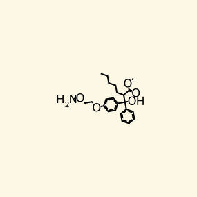 CCCCCC(C(=O)OC)C(O)(c1ccccc1)c1ccc(OCCON)cc1